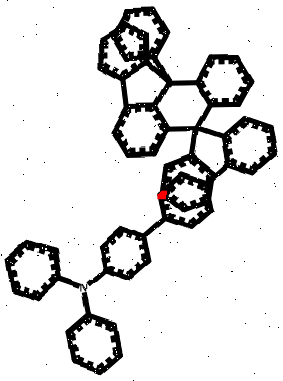 c1ccc(N(c2ccccc2)c2ccc(-c3ccc(-c4ccccc4C4(c5ccccc5)c5ccccc5C5(c6ccccc6)c6ccccc6-c6cccc4c65)cc3)cc2)cc1